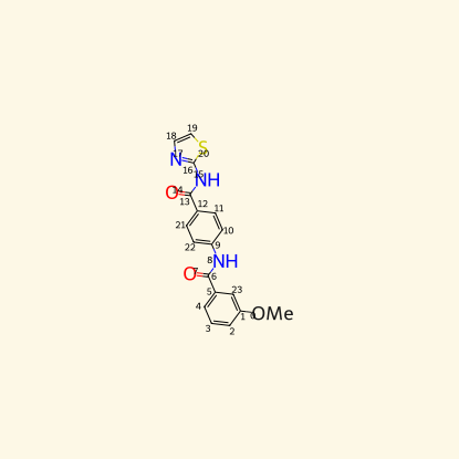 COc1cccc(C(=O)Nc2ccc(C(=O)Nc3nccs3)cc2)c1